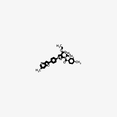 CCOC(=O)c1cn(-c2ccc(-c3cc4ncc(C)cc4o3)cc2)nc1N(C(=O)[C@H]1CC[C@H](C)CC1)C(C)C